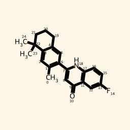 Cc1cc2c(cc1-c1cc(=O)c3cc(F)ccc3[nH]1)CCCC2(C)C